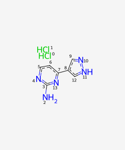 Cl.Cl.Nc1nccc(-c2cn[nH]c2)n1